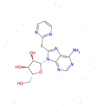 Nc1ncnc2c1nc(Sc1ncccn1)n2[C@@H]1O[C@H](CO)[C@@H](O)[C@H]1O